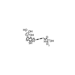 NC(CO)C(=O)NCC#CC#CCNc1nc(S)c2ncn([C@@H]3O[C@H](CO)C(O)[C@@H]3O)c2n1